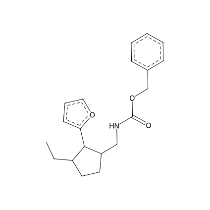 CCC1CCC(CNC(=O)OCc2ccccc2)C1c1ccco1